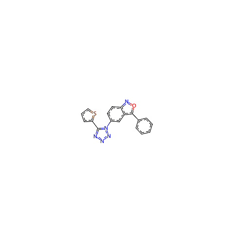 c1ccc(-c2onc3ccc(-n4nnnc4-c4cccs4)cc23)cc1